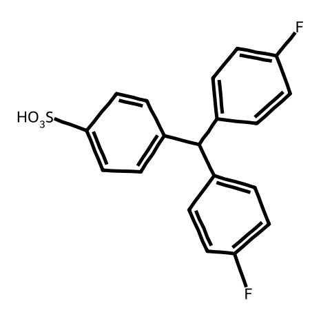 O=S(=O)(O)c1ccc(C(c2ccc(F)cc2)c2ccc(F)cc2)cc1